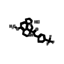 COc1cccc2c1CCNC2(CN1CCCC1)C(=O)Cc1ccc(C(F)(F)F)cc1.Cl